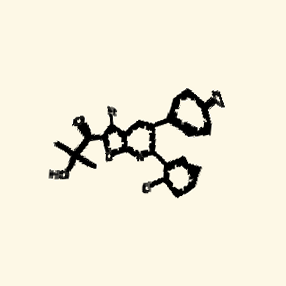 CCc1c(C(=O)C(C)(C)O)oc2nc(-c3ccccc3Cl)c(-c3ccc(Cl)cc3)cc12